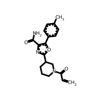 C=CC(=O)N1CCCC(c2nc(C(N)=O)c(-c3ccc(C)cc3)o2)C1